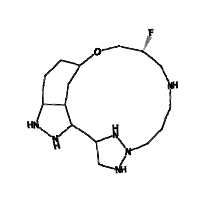 F[C@@H]1CNCCCN2NCC(N2)C2NNC3CCC(CC32)OC1